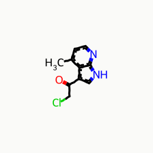 Cc1ccnc2[nH]cc(C(=O)CCl)c12